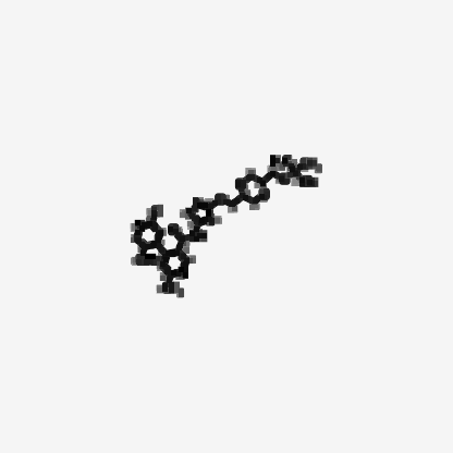 COc1cnc(Cl)cc1-c1cc(C)ncc1C(=O)Nc1nnc(OCC2COC(CO[Si](C)(C)C(C)(C)C)CO2)s1